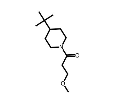 COCCC(=O)N1CCC(C(C)(C)C)CC1